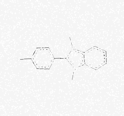 Cn1c(-c2ccc(F)cc2)[n+](C)c2ccccc21